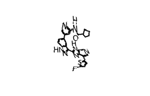 O=C(Nc1cncc(-c2ccc3[nH]nc(-c4nc5c(-c6ccc(F)s6)cncc5[nH]4)c3c2)c1)C1CCCC1